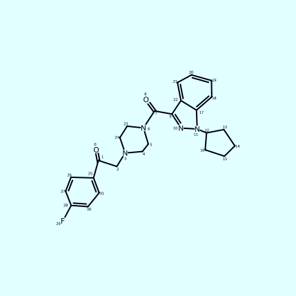 O=C(CN1CCN(C(=O)c2nn(C3CCCC3)c3ccccc23)CC1)c1ccc(F)cc1